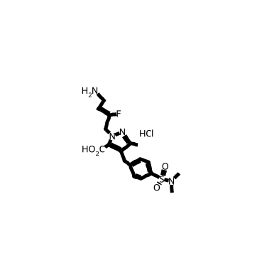 Cc1nn(CC(F)=CCN)c(C(=O)O)c1Cc1ccc(S(=O)(=O)N(C)C)cc1.Cl